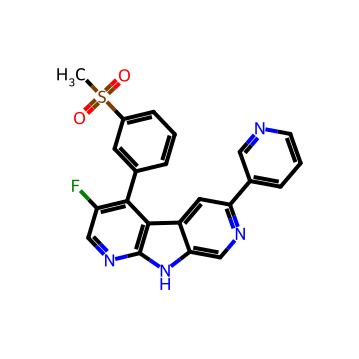 CS(=O)(=O)c1cccc(-c2c(F)cnc3[nH]c4cnc(-c5cccnc5)cc4c23)c1